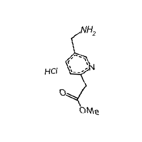 COC(=O)Cc1ccc(CN)cn1.Cl